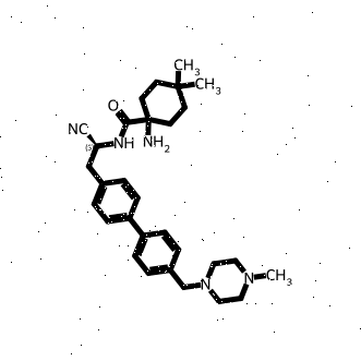 CN1CCN(Cc2ccc(-c3ccc(C[C@@H](C#N)NC(=O)C4(N)CCC(C)(C)CC4)cc3)cc2)CC1